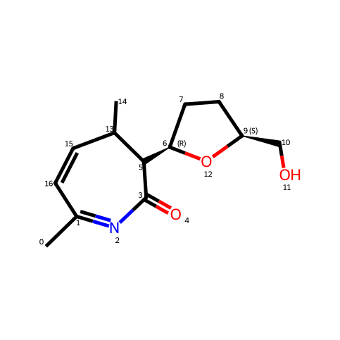 CC1=NC(=O)C([C@H]2CC[C@@H](CO)O2)C(C)C=C1